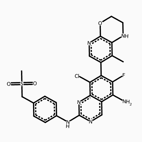 Cc1c(-c2c(F)c(N)c3cnc(Nc4ccc(CS(C)(=O)=O)cc4)nc3c2Cl)cnc2c1NCCO2